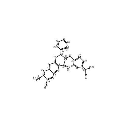 Nc1nc2cc3c(cc2cc1Br)C(=O)N(Cc1ccc(C(F)F)cn1)[C@@H](c1ncccn1)C3